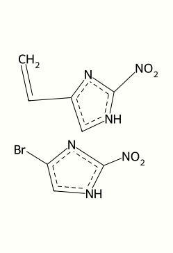 C=Cc1c[nH]c([N+](=O)[O-])n1.O=[N+]([O-])c1nc(Br)c[nH]1